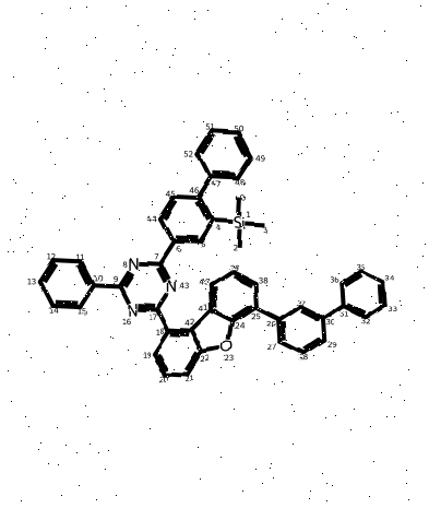 C[Si](C)(C)c1cc(-c2nc(-c3ccccc3)nc(-c3cccc4oc5c(-c6cccc(-c7ccccc7)c6)cccc5c34)n2)ccc1-c1ccccc1